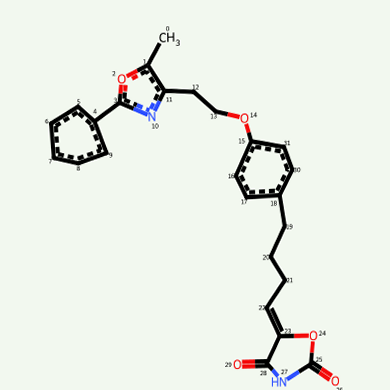 Cc1oc(-c2ccccc2)nc1CCOc1ccc(CCCC=C2OC(=O)NC2=O)cc1